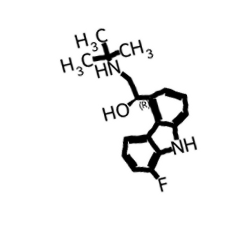 CC(C)(C)NC[C@H](O)c1cccc2[nH]c3c(F)cccc3c12